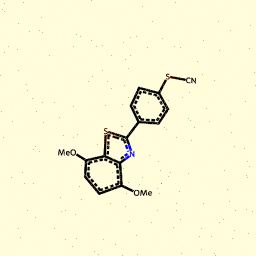 COc1ccc(OC)c2sc(-c3ccc(SC#N)cc3)nc12